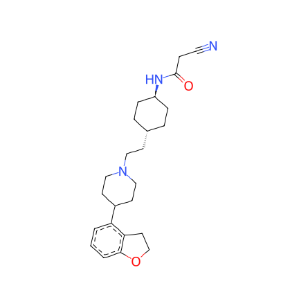 N#CCC(=O)N[C@H]1CC[C@H](CCN2CCC(c3cccc4c3CCO4)CC2)CC1